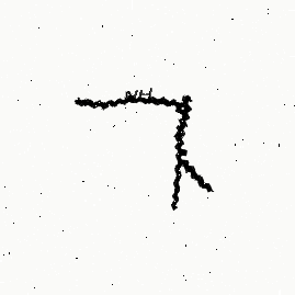 C=C(CCCCCCCCC1CC(CC)C(CCCCCCCCC(=N)CCCCCCCCCC)C1)CC(CCCCCCCC)CCCCCCCC